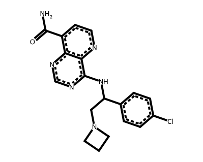 NC(=O)c1ccnc2c(NC(CN3CCC3)c3ccc(Cl)cc3)ncnc12